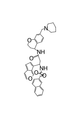 O=C(CC(NS(=O)(=O)c1ccc2ccccc2c1)c1ccc2ccocc1-2)NC1CCOc2cc(CN3CCCCC3)ccc21